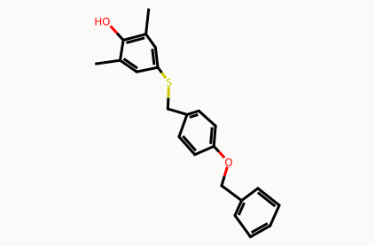 Cc1cc(SCc2ccc(OCc3ccccc3)cc2)cc(C)c1O